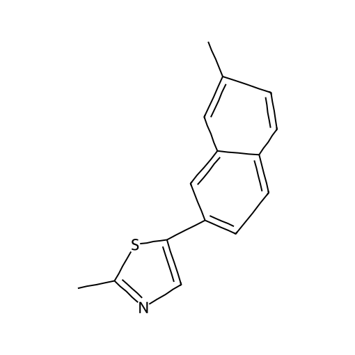 Cc1ccc2ccc(-c3cnc(C)s3)cc2c1